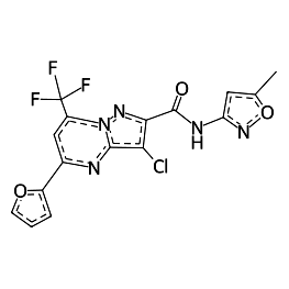 Cc1cc(NC(=O)c2nn3c(C(F)(F)F)cc(-c4ccco4)nc3c2Cl)no1